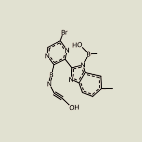 CB(O)n1c(-c2nc(Br)cnc2/B=N/C#CO)nc2ccc(C)cc21